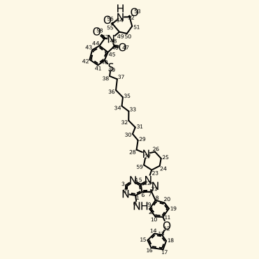 Nc1ncnc2c1c(-c1ccc(Oc3ccccc3)cc1)nn2C1CCCN(CCCCCCCCCCCSc2cccc3c2C(=O)N(C2CCC(=O)NC2=O)C3=O)C1